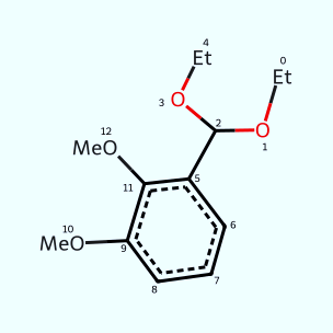 CCOC(OCC)c1cccc(OC)c1OC